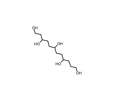 OCCCC(O)CCC(O)CCC(O)CCO